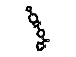 O=C(c1ccccn1)N1CCC(c2nc3c(s2)CCN(C2CCC2)CC3)CC1